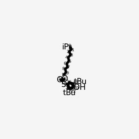 CC(C)CCCCCCCCCCOC(=O)Sc1cc(C(C)(C)C)c(O)c(C(C)(C)C)c1